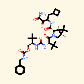 CC(C)(C)[C@H](COC(=O)NCc1ccccc1)NC(=O)N[C@H](C(=O)N1C[C@H]2[C@@H]([C@H]1C(=O)NC(CC1CCC1)C(=O)C(N)=O)C2(C)C)C(C)(C)C